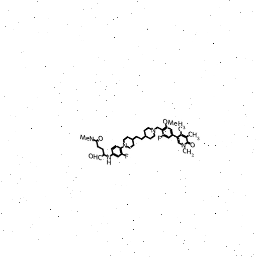 CNC(=O)CCC(C=O)Nc1ccc(N2CCC(CCC3CCN(Cc4c(F)cc(-c5cn(C)c(=O)c(C)c5C)cc4OC)CC3)CC2)c(F)c1